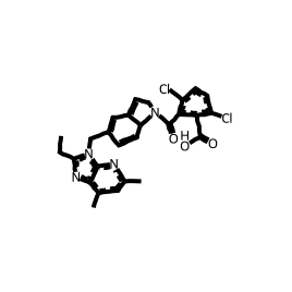 CCc1nc2c(C)cc(C)nc2n1CC1=CC2=CCN(C(=O)c3c(Cl)ccc(Cl)c3C(=O)O)C2C=C1